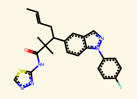 C/C=C/CC(c1ccc2c(cnn2-c2ccc(F)cc2)c1)C(C)(C)C(=O)Nc1nncs1